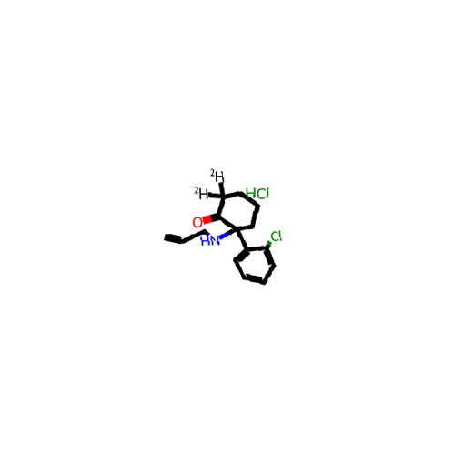 Cl.[2H]C1([2H])CCCC(NCC=C)(c2ccccc2Cl)C1=O